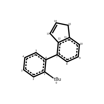 CC(C)(C)c1ccccc1-c1cccc2c1C=C[CH]2